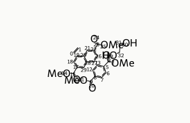 C=C.COC(=O)c1ccc(C(=O)OC)cc1.COC(=O)c1ccc2cc(C(=O)OC)ccc2c1.OCCO